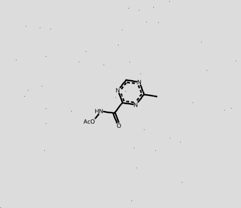 CC(=O)ONC(=O)c1ncnc(C)n1